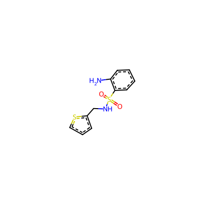 Nc1ccccc1S(=O)(=O)NCc1cccs1